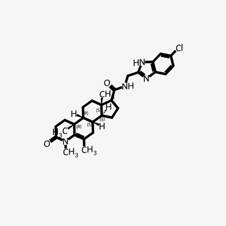 CC1=C2N(C)C(=O)CC[C@]2(C)[C@@H]2CC[C@]3(C)C(C(=O)NCc4nc5ccc(Cl)cc5[nH]4)CC[C@H]3[C@@H]2C1